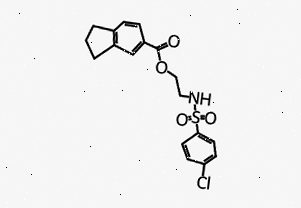 O=C(OCCNS(=O)(=O)c1ccc(Cl)cc1)c1ccc2c(c1)CCC2